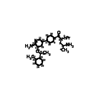 CCCN(CC(C)N)C(=O)c1ccc(-c2cnc(N)c(OC(C)c3ccccc3C)c2)cc1